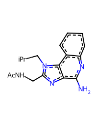 CC(=O)NCc1nc2c(N)nc3ccccc3c2n1CC(C)C